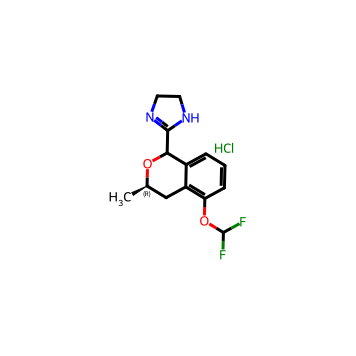 C[C@@H]1Cc2c(OC(F)F)cccc2C(C2=NCCN2)O1.Cl